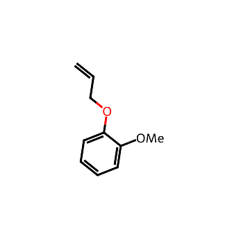 [CH2]Oc1ccccc1OCC=C